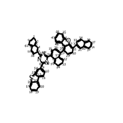 c1ccc2cc(-c3nc(-c4ccc5c(c4)sc4ccccc45)nc(-c4ccc(-c5ccc(-c6ccc7ccccc7c6)c6oc7ccccc7c56)c5ccccc45)n3)ccc2c1